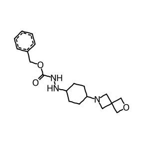 O=C(NNC1CCC(N2CC3(COC3)C2)CC1)OCc1ccccc1